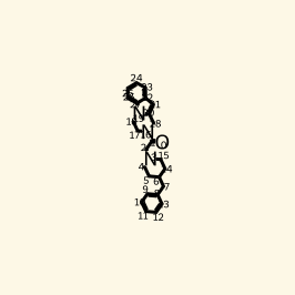 O=C(CN1CCC(Cc2ccccc2)CC1)N1CCn2c(cc3ccccc32)C1